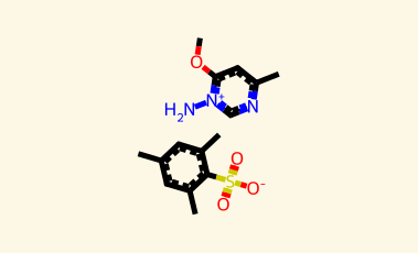 COc1cc(C)nc[n+]1N.Cc1cc(C)c(S(=O)(=O)[O-])c(C)c1